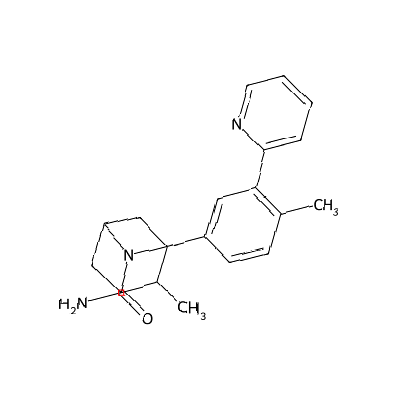 Cc1ccc(C23CC(CCC2C)N3C(N)=O)cc1-c1ccccn1